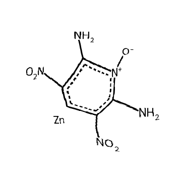 Nc1c([N+](=O)[O-])cc([N+](=O)[O-])c(N)[n+]1[O-].[Zn]